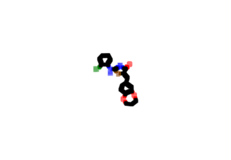 O=C1N=C(Nc2ccccc2Br)S/C1=C\c1ccc2c(c1)OCCCO2